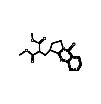 COC(=O)C(CC1CCn2c1nc1ccccc1c2=O)C(=O)OC